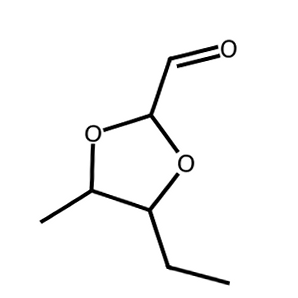 CCC1OC(C=O)OC1C